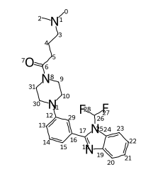 CN(C)CCCC(=O)N1CCN(c2cccc(-c3nc4ccccc4n3C(F)F)c2)CC1